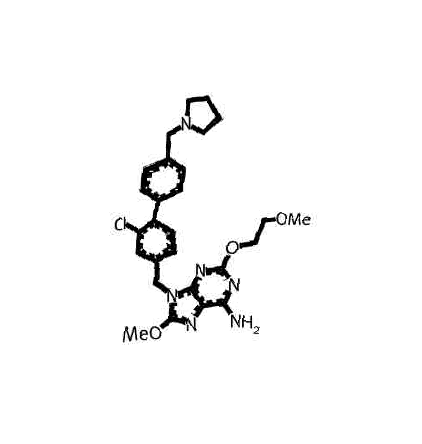 COCCOc1nc(N)c2nc(OC)n(Cc3ccc(-c4ccc(CN5CCCC5)cc4)c(Cl)c3)c2n1